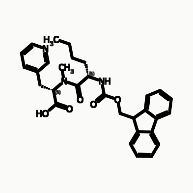 CCCC[C@H](NC(=O)OCC1c2ccccc2-c2ccccc21)C(=O)N(C)[C@@H](Cc1cccnc1)C(=O)O